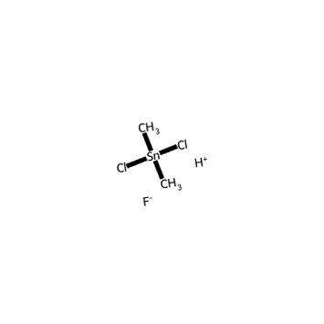 [CH3][Sn]([CH3])([Cl])[Cl].[F-].[H+]